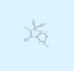 CC1=C(Cl)c2cc(C)ccc2S1(=O)=O